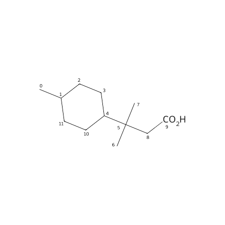 CC1CCC(C(C)(C)CC(=O)O)CC1